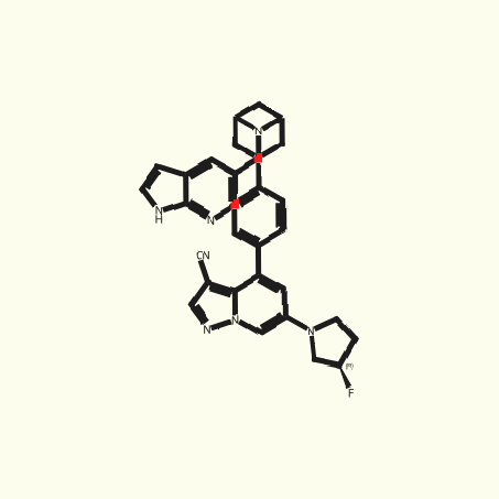 N#Cc1cnn2cc(N3CC[C@@H](F)C3)cc(-c3ccc(N4CC5CC(C4)N5Cc4cnc5[nH]ccc5c4)nc3)c12